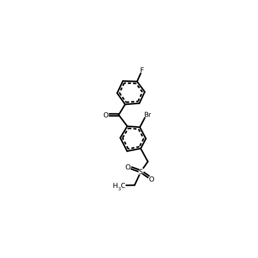 CCS(=O)(=O)Cc1ccc(C(=O)c2ccc(F)cc2)c(Br)c1